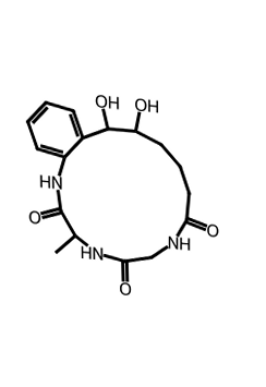 CC1NC(=O)CNC(=O)CCCC(O)C(O)c2ccccc2NC1=O